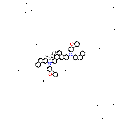 CC1(C)c2cc(N(c3ccc4ccc5ccccc5c4c3)c3ccc4oc5ccccc5c4c3)ccc2-c2cc3ccc(N(c4ccc5ccc6ccccc6c5c4)c4ccc5oc6ccccc6c5c4)cc3c3cccc1c23